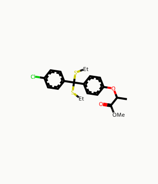 CCSC(SCC)(c1ccc(Cl)cc1)c1ccc(OC(C)C(=O)OC)cc1